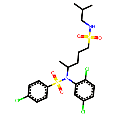 CC(C)CNS(=O)(=O)CCCC(C)N(c1cc(Cl)ccc1Cl)S(=O)(=O)c1ccc(Cl)cc1